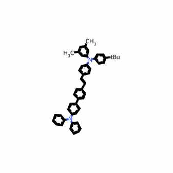 Cc1cc(C)cc(N(c2ccc(/C=C/c3ccc(-c4ccc(N(c5ccccc5)c5ccccc5)cc4)cc3)cc2)c2ccc(C(C)(C)C)cc2)c1